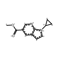 COC(=O)c1cnc2c(ccn2C2CC2)c1